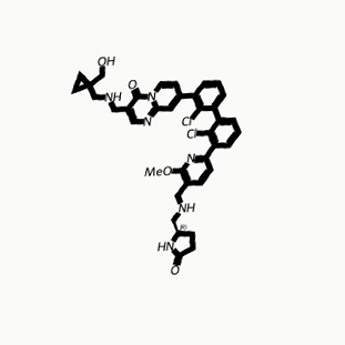 COc1nc(-c2cccc(-c3cccc(-c4ccn5c(=O)c(CNCC6(CO)CC6)cnc5c4)c3Cl)c2Cl)ccc1CNC[C@H]1CCC(=O)N1